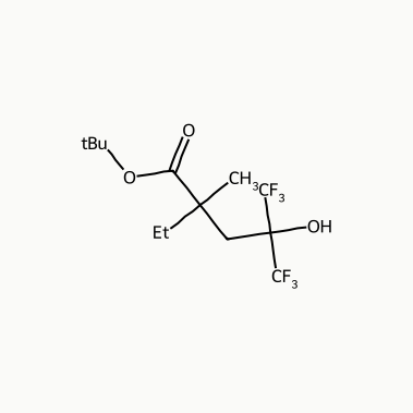 CCC(C)(CC(O)(C(F)(F)F)C(F)(F)F)C(=O)OC(C)(C)C